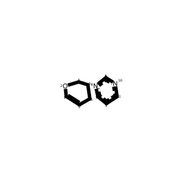 C1=COCCC1.c1cncnc1